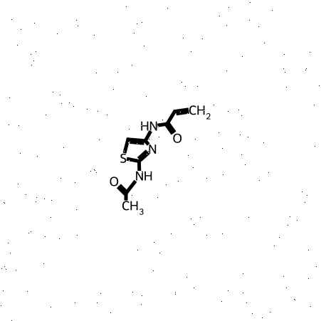 C=CC(=O)Nc1csc(NC(C)=O)n1